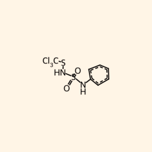 O=S(=O)(NSC(Cl)(Cl)Cl)Nc1ccccc1